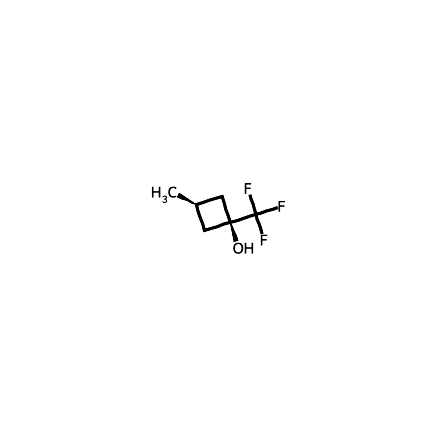 C[C@H]1C[C@](O)(C(F)(F)F)C1